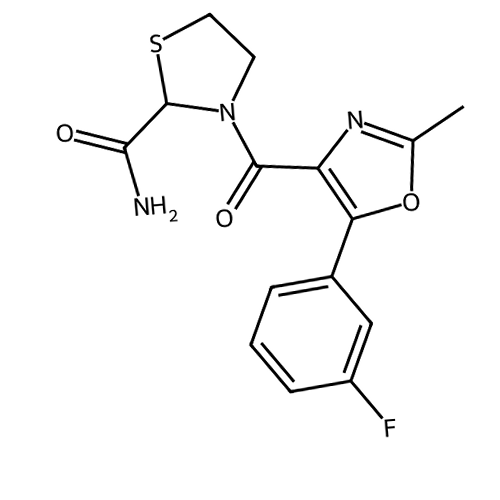 Cc1nc(C(=O)N2CCSC2C(N)=O)c(-c2cccc(F)c2)o1